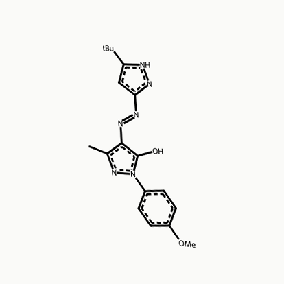 COc1ccc(-n2nc(C)c(N=Nc3cc(C(C)(C)C)[nH]n3)c2O)cc1